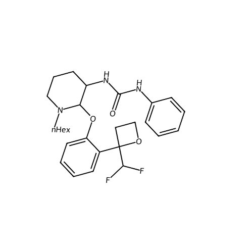 CCCCCCN1CCCC(NC(=O)Nc2ccccc2)C1Oc1ccccc1C1(C(F)F)CCO1